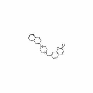 O=c1ccc2ccc(CN3CCN(c4ccc5ccccc5c4)CC3)cc2o1